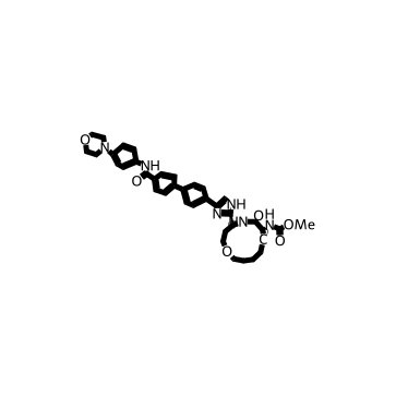 COC(=O)N[C@H]1CCCCCOCC[C@@H](c2nc(-c3ccc(-c4ccc(C(=O)Nc5ccc(N6CCOCC6)cc5)cc4)cc3)c[nH]2)NC1=O